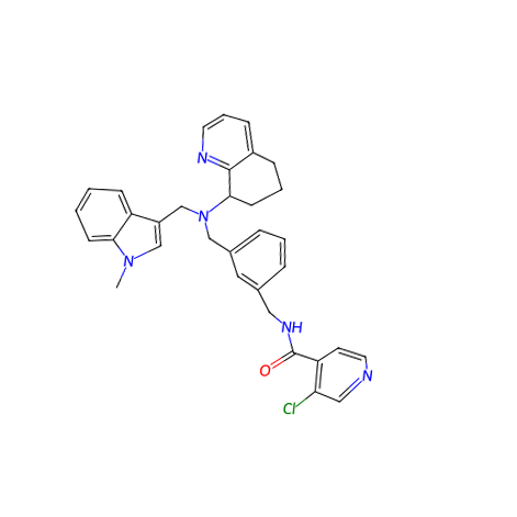 Cn1cc(CN(Cc2cccc(CNC(=O)c3ccncc3Cl)c2)C2CCCc3cccnc32)c2ccccc21